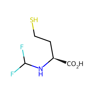 O=C(O)[C@H](CCS)NC(F)F